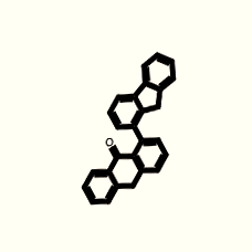 O=C1c2ccccc2Cc2cccc(-c3cccc4c3Cc3ccccc3-4)c21